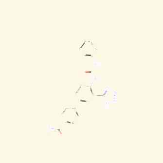 COc1ccc(NC(=O)Nc2ccc(-c3ccc(C(=O)N(C)C)cc3)cc2-c2nnn[nH]2)cc1